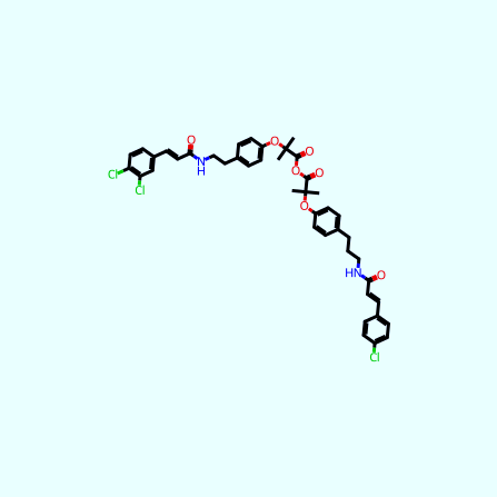 CC(C)(Oc1ccc(CCCNC(=O)/C=C/c2ccc(Cl)cc2)cc1)C(=O)OC(=O)C(C)(C)Oc1ccc(CCNC(=O)/C=C/c2ccc(Cl)c(Cl)c2)cc1